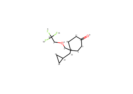 O=C1CCC(COCC(F)(F)F)(CC2CC2)CC1